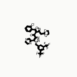 O=C(c1nnn(Cc2cc(C(F)(F)F)cc(C(F)(F)F)c2)c1-c1cnccn1)c1c(CC2OCCO2)noc1-c1ccccc1Cl